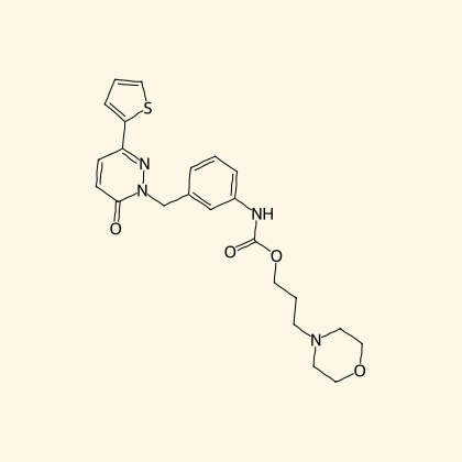 O=C(Nc1cccc(Cn2nc(-c3cccs3)ccc2=O)c1)OCCCN1CCOCC1